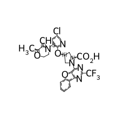 C[C@@H]1OCCN(c2cc(Cl)cnc2O[C@H]2C[C@@H](C(=O)O)N(c3nc(C(F)(F)F)nc4c3oc3ccccc34)C2)[C@H]1C